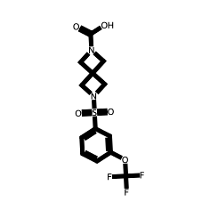 O=C(O)N1CC2(C1)CN(S(=O)(=O)c1cccc(OC(F)(F)F)c1)C2